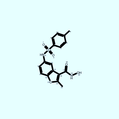 Cc1ccc(S(=O)(=O)Nc2ccc3oc(C)c(C(=O)NO)c3c2)cc1